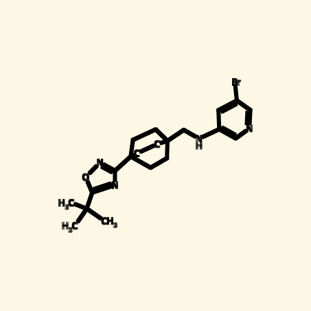 CC(C)(C)c1nc(C23CCC(CNc4cncc(Br)c4)(CC2)CC3)no1